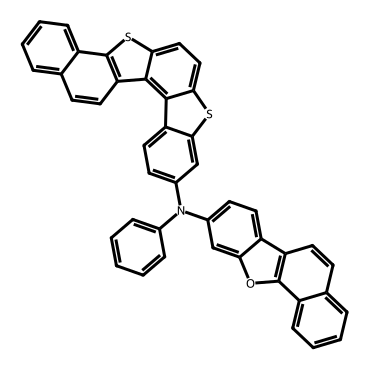 c1ccc(N(c2ccc3c(c2)oc2c4ccccc4ccc32)c2ccc3c(c2)sc2ccc4sc5c6ccccc6ccc5c4c23)cc1